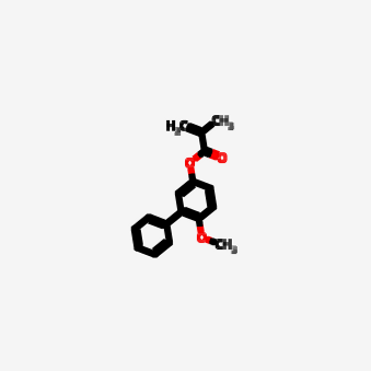 C=C(C)C(=O)Oc1ccc(OC)c(-c2ccccc2)c1